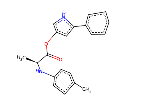 Cc1ccc(N[C@@H](C)C(=O)Oc2c[nH]c(-c3ccccc3)c2)cc1